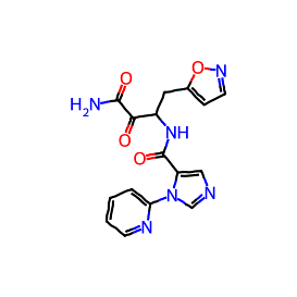 NC(=O)C(=O)C(Cc1ccno1)NC(=O)c1cncn1-c1ccccn1